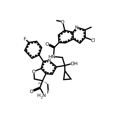 COc1cc(C(=O)NCC(O)(c2cc3c(c(-c4ccc(F)cc4)n2)OC[C@]3(CF)C(N)=O)C2CC2)cc2cc(Cl)c(C)nc12